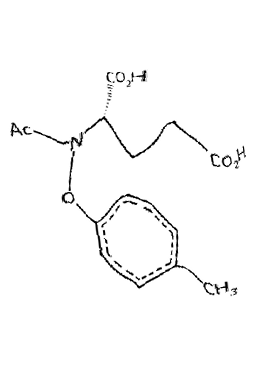 CC(=O)N(Oc1ccc(C)cc1)[C@@H](CCC(=O)O)C(=O)O